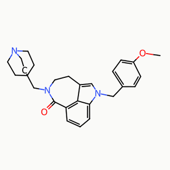 COc1ccc(Cn2cc3c4c(cccc42)C(=O)N(CC24CCN(CC2)CC4)CC3)cc1